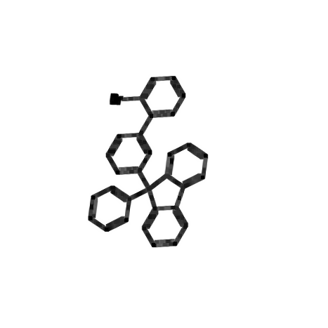 Brc1ccccc1-c1cccc(C2(c3ccccc3)c3ccccc3-c3ccccc32)c1